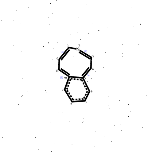 C1=C\N=C/C=c2/cccc/c2=C/1